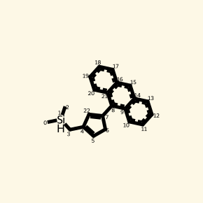 C[SiH](C)CC1=CCC(c2c3ccccc3cc3ccccc23)=C1